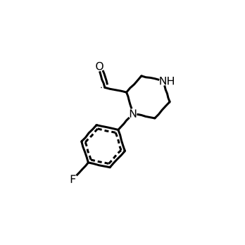 O=[C]C1CNCCN1c1ccc(F)cc1